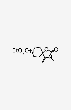 C=C1N(C)C(=O)OC12CCN(C(=O)OCC)CC2